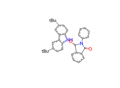 CC(C)(C)c1ccc2[nH]c3ccc(C(C)(C)C)cc3c2c1.O=C1c2ccccc2C(=O)N1c1ccccc1